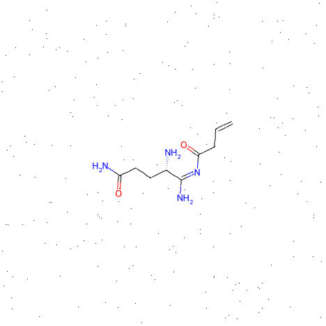 C=CCC(=O)/N=C(/N)[C@@H](N)CCC(N)=O